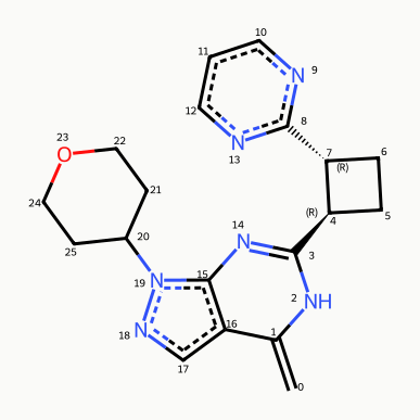 C=C1NC([C@@H]2CC[C@H]2c2ncccn2)=Nc2c1cnn2C1CCOCC1